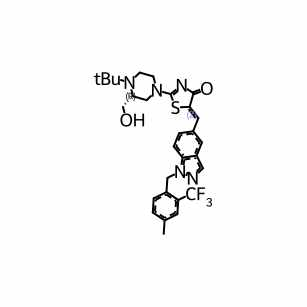 Cc1ccc(Cn2ncc3cc(/C=C4\SC(N5CCN(C(C)(C)C)[C@@H](CO)C5)=NC4=O)ccc32)c(C(F)(F)F)c1